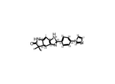 CC1(C)C(=O)Nc2cc3[nH]c(-c4ccc(-n5ccnc5)cc4)nc3cc21